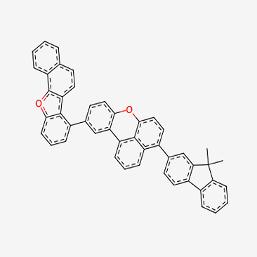 CC1(C)c2ccccc2-c2ccc(-c3ccc4c5c(cccc35)-c3cc(-c5cccc6oc7c8ccccc8ccc7c56)ccc3O4)cc21